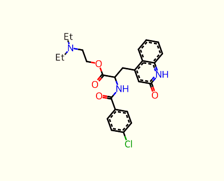 CCN(CC)CCOC(=O)C(Cc1cc(=O)[nH]c2ccccc12)NC(=O)c1ccc(Cl)cc1